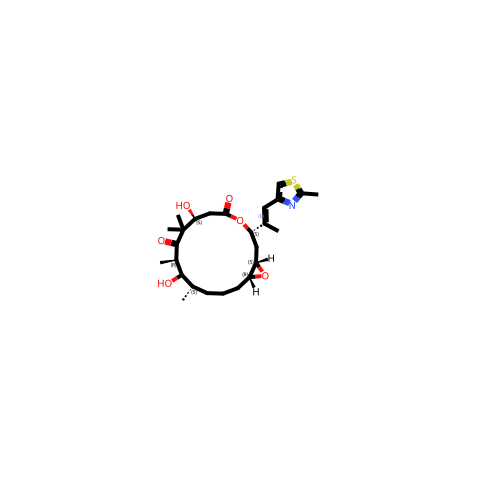 C/C(=C\c1csc(C)n1)[C@@H]1C[C@@H]2O[C@@H]2CCC[C@H](C)C(O)[C@@H](C)C(=O)C(C)(C)[C@@H](O)CC(=O)O1